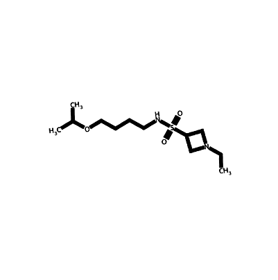 CCN1CC(S(=O)(=O)NCCCCOC(C)C)C1